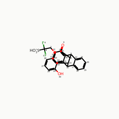 O=C(OCC(F)(F)S(=O)(=O)O)C1C2c3ccccc3C(c3ccccc32)C1c1ccccc1O